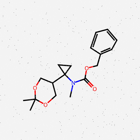 CN(C(=O)OCc1ccccc1)C1(C2COC(C)(C)OC2)CC1